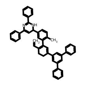 C=CC1=C(c2cc(C3C=C(c4ccccc4)N=C(c4ccccc4)N3)ccc2C)C=C(c2cc(-c3ccccc3)cc(-c3ccccc3)c2)CC1